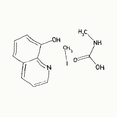 CI.CNC(=O)O.Oc1cccc2cccnc12